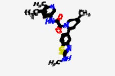 CNc1nc2cc(C3CCC(C)CN3C(=O)C(=O)Nc3cnc(C)c(C)c3)ccc2s1